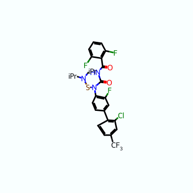 CC(C)N(SN(C(=O)NC(=O)c1c(F)cccc1F)c1ccc(-c2ccc(C(F)(F)F)cc2Cl)cc1F)C(C)C